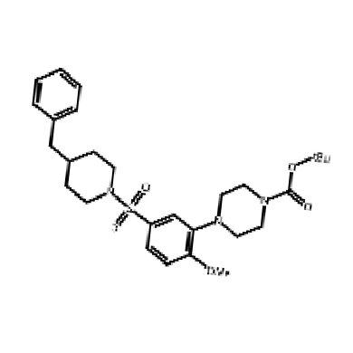 COc1ccc(S(=O)(=O)N2CCC(Cc3ccccc3)CC2)cc1N1CCN(C(=O)OC(C)(C)C)CC1